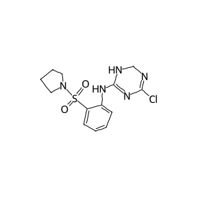 O=S(=O)(c1ccccc1NC1=NC(Cl)=NCN1)N1CCCC1